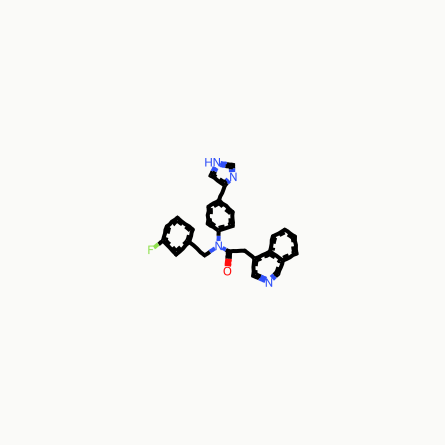 O=C(Cc1cncc2ccccc12)N(Cc1cccc(F)c1)c1ccc(-c2c[nH]cn2)cc1